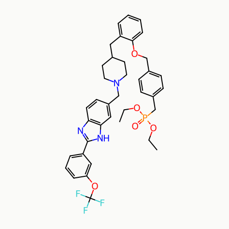 CCOP(=O)(Cc1ccc(COc2ccccc2CC2CCN(Cc3ccc4nc(-c5cccc(OC(F)(F)F)c5)[nH]c4c3)CC2)cc1)OCC